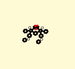 O=C1C(c2ccccc2)=C(c2ccc(Oc3ccccc3)cc2)C(c2cccc(C3=C(c4ccccc4)C(=O)C(c4ccccc4)=C3c3ccc(Oc4ccccc4)cc3)c2)=C1c1ccccc1